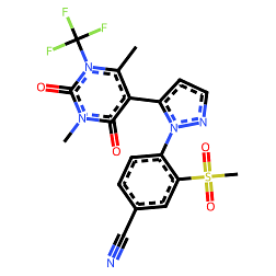 Cc1c(-c2ccnn2-c2ccc(C#N)cc2S(C)(=O)=O)c(=O)n(C)c(=O)n1C(F)(F)F